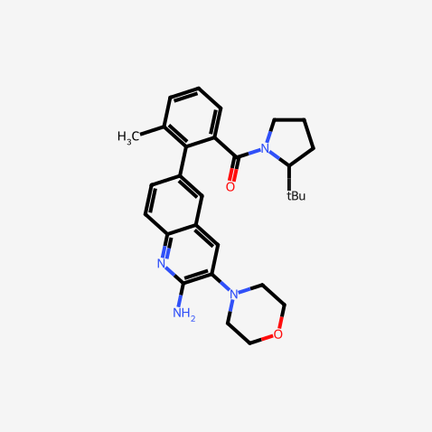 Cc1cccc(C(=O)N2CCCC2C(C)(C)C)c1-c1ccc2nc(N)c(N3CCOCC3)cc2c1